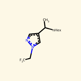 CCCCCCC(C)c1cnn(CC(F)(F)F)c1